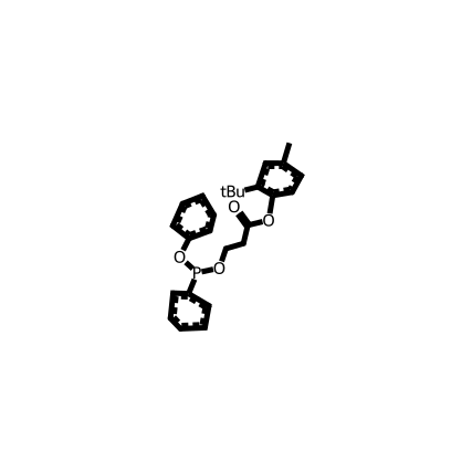 Cc1ccc(OC(=O)CCOP(Oc2ccccc2)c2ccccc2)c(C(C)(C)C)c1